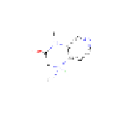 CC(C)[N+]1(Cl)c2ccncc2N(C)C(=O)[C@H]1C